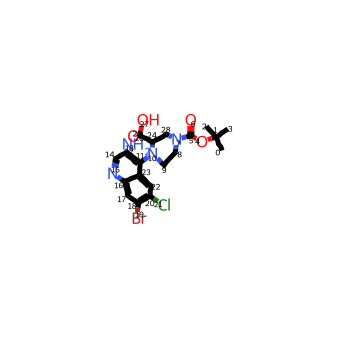 CC(C)(C)OC(=O)N1CCN(c2c(N)cnc3cc(Br)c(Cl)cc23)C(C(=O)O)C1